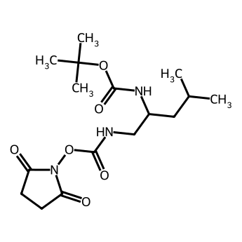 CC(C)CC(CNC(=O)ON1C(=O)CCC1=O)NC(=O)OC(C)(C)C